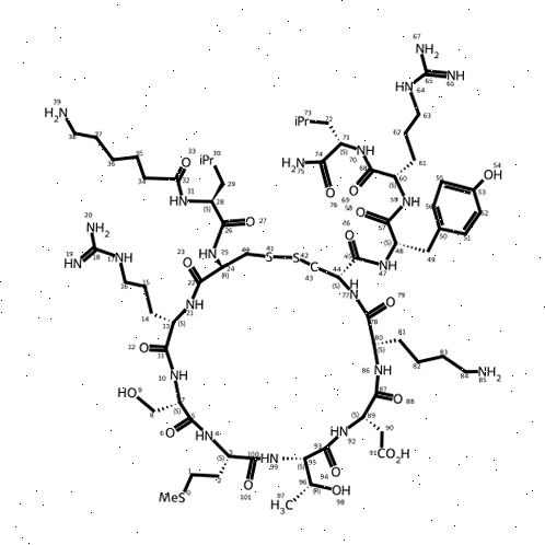 CSCC[C@@H]1NC(=O)[C@H](CO)NC(=O)[C@H](CCCNC(=N)N)NC(=O)[C@@H](NC(=O)[C@H](CC(C)C)NC(=O)CCCCCN)CSSC[C@H](C(=O)N[C@@H](Cc2ccc(O)cc2)C(=O)N[C@@H](CCCNC(=N)N)C(=O)N[C@@H](CC(C)C)C(N)=O)NC(=O)[C@H](CCCCN)NC(=O)[C@H](CC(=O)O)NC(=O)[C@H]([C@@H](C)O)NC1=O